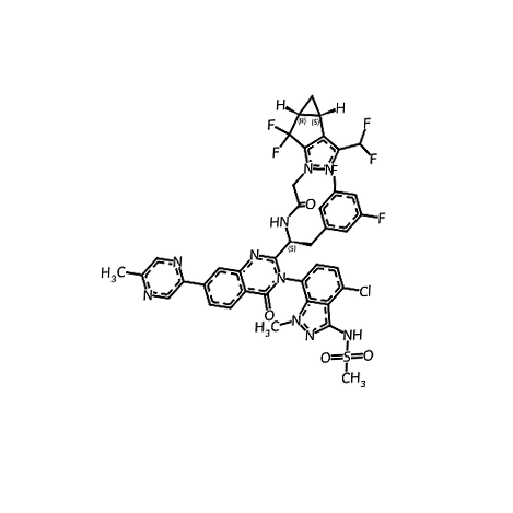 Cc1cnc(-c2ccc3c(=O)n(-c4ccc(Cl)c5c(NS(C)(=O)=O)nn(C)c45)c([C@H](Cc4cc(F)cc(F)c4)NC(=O)Cn4nc(C(F)F)c5c4C(F)(F)[C@@H]4C[C@H]54)nc3c2)cn1